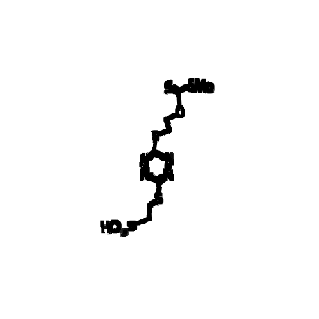 CSC(=S)OCCSc1nnc(SCCS(=O)(=O)O)nn1